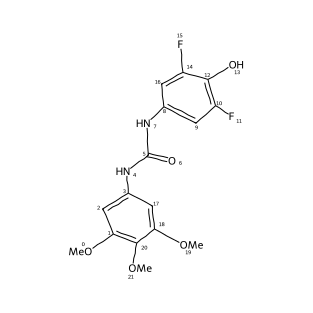 COc1cc(NC(=O)Nc2cc(F)c(O)c(F)c2)cc(OC)c1OC